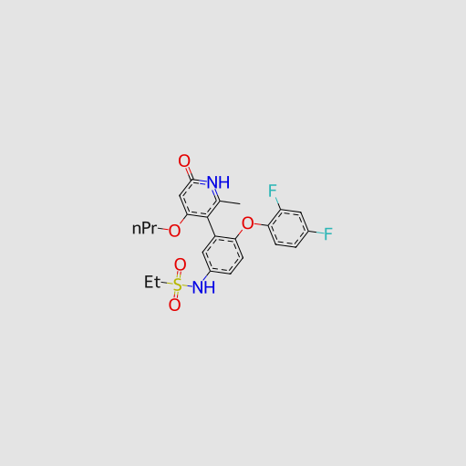 CCCOc1cc(=O)[nH]c(C)c1-c1cc(NS(=O)(=O)CC)ccc1Oc1ccc(F)cc1F